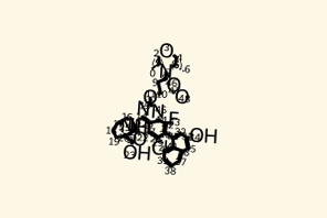 C[C@H]1COC[C@H](C)N1C(CCOc1nc(N2CC3CCC(C(=O)O)(C2)N3)c2cc(Cl)c(-c3cc(O)cc4ccccc34)c(F)c2n1)OC=O